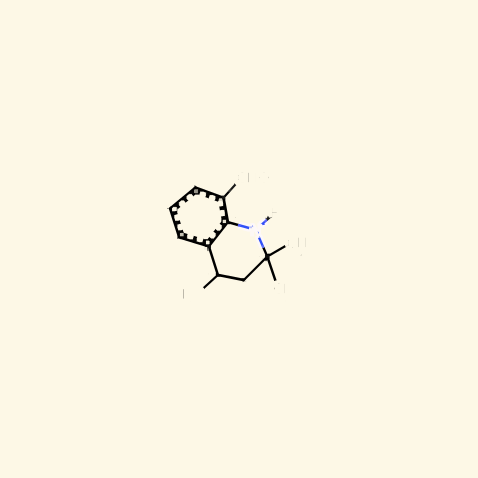 CCN1c2c(C=O)cccc2C(C)CC1(C)C